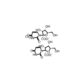 O=C([O-])[C@@]1(n2ccc(=O)[nH]c2=O)O[C@H](CO)[C@@H](O)[C@H]1O.O=C([O-])[C@@]1(n2ccc(=O)[nH]c2=O)O[C@H](CO)[C@@H](O)[C@H]1O.[Cu+2]